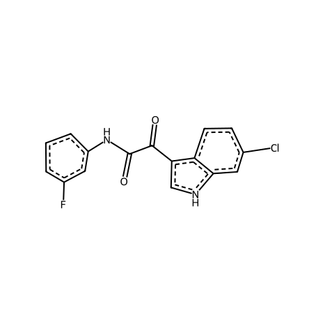 O=C(Nc1cccc(F)c1)C(=O)c1c[nH]c2cc(Cl)ccc12